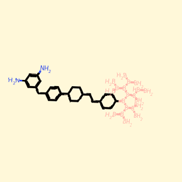 BBB(B)B(B(B(B)B)B(B)B)B(B(B(B)B)B(B)B)C1CCC(CCC2CCC(c3ccc(Cc4cc(N)cc(N)c4)cc3)CC2)CC1